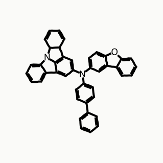 C1=CC2c3cc(N(c4ccc(-c5ccccc5)cc4)c4ccc5oc6ccccc6c5c4)cc4c5ccccc5n(c34)C2C=C1